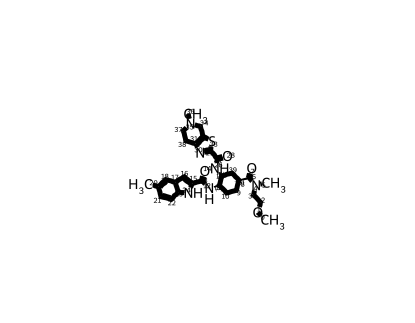 COCCN(C)C(=O)[C@H]1CC[C@H](NC(=O)C2=CC3C=C(C)C=CC3N2)[C@H](NC(=O)c2nc3c(s2)CN(C)CC3)C1